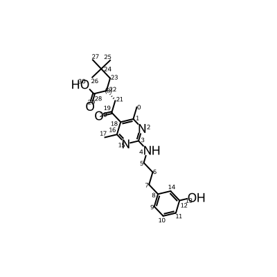 Cc1nc(NCCCc2cccc(O)c2)nc(C)c1C(=O)C[C@@H](CC(C)(C)C)C(=O)O